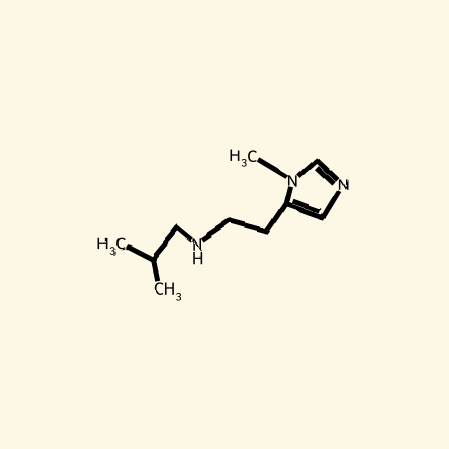 CC(C)CNCCc1cncn1C